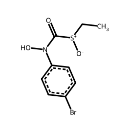 CC[S+]([O-])C(=O)N(O)c1ccc(Br)cc1